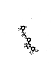 Cc1cc(-c2cc(-c3cccc(OCC(=O)NCc4ccccc4Cl)c3)[nH]c(=O)n2)ccc1O